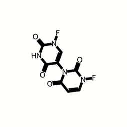 O=c1[nH]c(=O)n(F)cc1-n1c(=O)ccn(F)c1=O